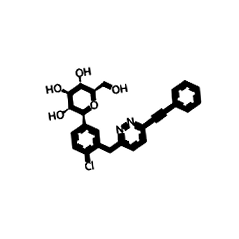 OC[C@H]1O[C@@H](c2ccc(Cl)c(Cc3ccc(C#Cc4ccccc4)nn3)c2)[C@H](O)[C@@H](O)[C@@H]1O